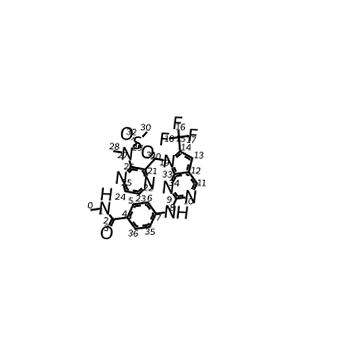 CNC(=O)c1ccc(Nc2ncc3cc(C(F)(F)F)n(Cc4nccnc4N(C)S(C)(=O)=O)c3n2)cc1